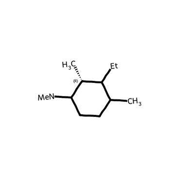 CCC1C(C)CCC(NC)[C@@H]1C